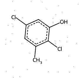 Cc1cc(Cl)cc(O)c1Cl